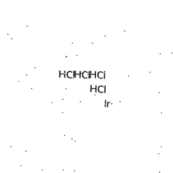 Cl.Cl.Cl.Cl.[Ir]